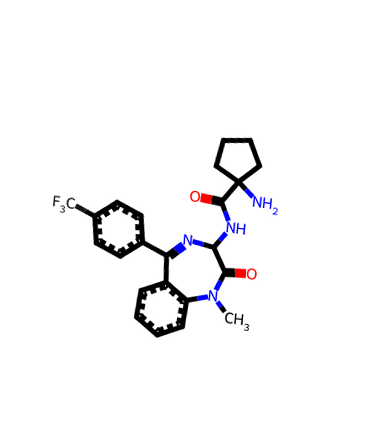 CN1C(=O)C(NC(=O)C2(N)CCCC2)N=C(c2ccc(C(F)(F)F)cc2)c2ccccc21